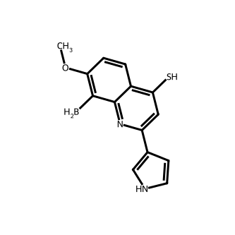 Bc1c(OC)ccc2c(S)cc(-c3cc[nH]c3)nc12